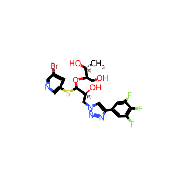 C[C@@H](O)C(CO)OC(Sc1cncc(Br)c1)[C@@H](O)Cn1cc(-c2cc(F)c(F)c(F)c2)nn1